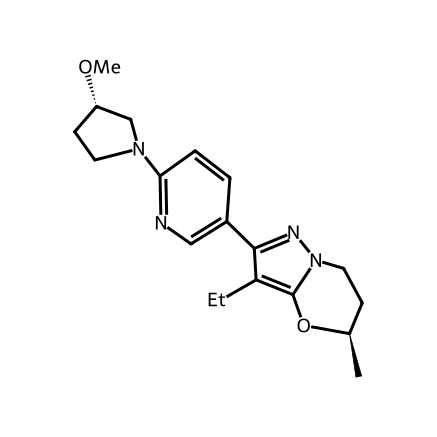 CCc1c(-c2ccc(N3CC[C@H](OC)C3)nc2)nn2c1O[C@H](C)CC2